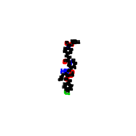 C#CC[C@H](NC(=O)[C@@H]1CCCN(C(=O)CCC2CCN(C(=O)OC(C)(C)C)CC2)C1)C(=O)OCc1ccc(Cl)cc1